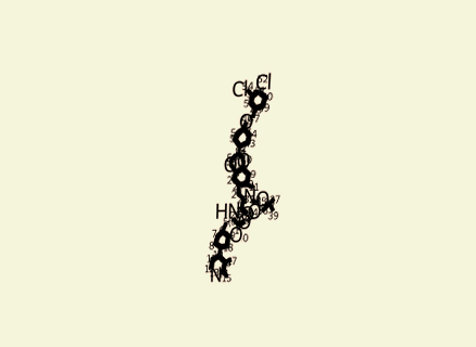 COC(=O)[C@H](Cc1ccc(-c2ccnc(C)c2C)cc1)NC(=O)C1Cc2cc3c(cc2CN1C(=O)OC(C)(C)C)O[C@H](c1ccc(OCc2ccc(Cl)c(Cl)c2)cc1)CO3